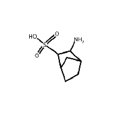 NC1C2CCC(C2)C1S(=O)(=O)O